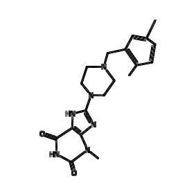 Cc1ccc(C)c(CN2CCN(c3nc4c([nH]3)c(=O)[nH]c(=O)n4C)CC2)c1